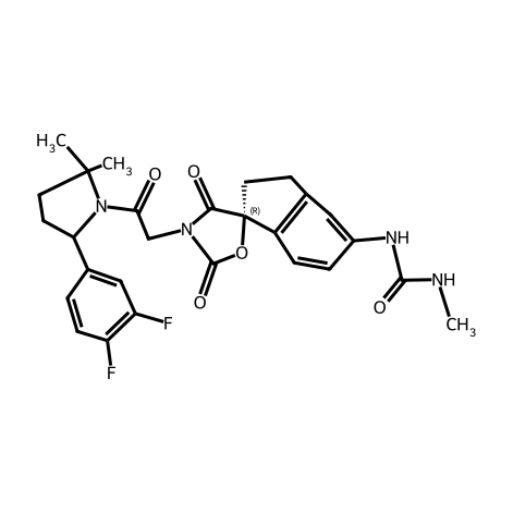 CNC(=O)Nc1ccc2c(c1)CC[C@@]21OC(=O)N(CC(=O)N2C(c3ccc(F)c(F)c3)CCC2(C)C)C1=O